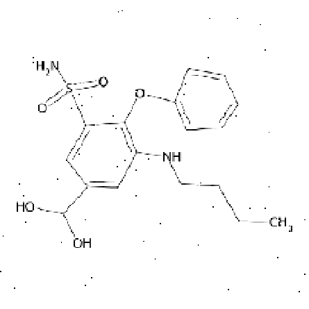 CCCCNc1cc(C(O)O)cc(S(N)(=O)=O)c1Oc1ccccc1